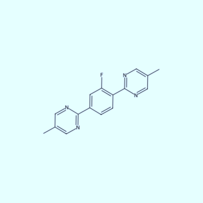 Cc1cnc(-c2ccc(-c3ncc(C)cn3)c(F)c2)nc1